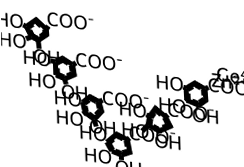 O=C([O-])c1cc(O)c(O)c(O)c1.O=C([O-])c1cc(O)c(O)c(O)c1.O=C([O-])c1cc(O)c(O)c(O)c1.O=C([O-])c1cc(O)c(O)c(O)c1.O=C([O-])c1cc(O)c(O)c(O)c1.O=C([O-])c1cc(O)c(O)c(O)c1.[Ge+4].[Zn+2]